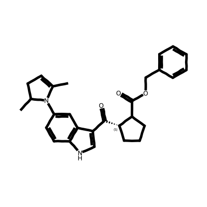 CC1=CCC(C)N1c1ccc2[nH]cc(C(=O)[C@H]3CCCC3C(=O)OCc3ccccc3)c2c1